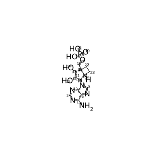 Nc1ncnc2c1ncn2[C@H]1[C@H](O)[C@H](O)[C@]2(COP(=O)(O)O)CC[C@H]12